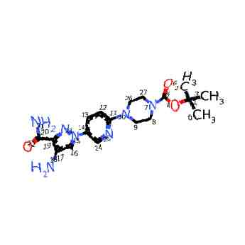 CC(C)(C)OC(=O)N1CCN(c2ccc(-n3cc(N)c(C(N)=O)n3)cn2)CC1